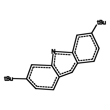 CC(C)(C)c1ccc2cc3ccc(C(C)(C)C)cc3nc2c1